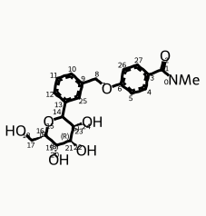 CNC(=O)c1ccc(OCc2cccc(C3O[C@H](CO)[C@@H](O)[C@H](O)[C@@H]3O)c2)cc1